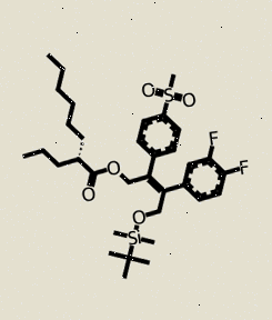 CCCCCC[C@@H](CCC)C(=O)OC/C(=C(\CO[Si](C)(C)C(C)(C)C)c1ccc(F)c(F)c1)c1ccc(S(C)(=O)=O)cc1